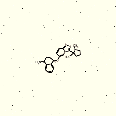 CN1CCCC1(C)c1nnc2ccc(O[C@@H]3CC[C@H](N)c4ccccc43)cn12